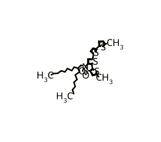 CCCCCCCCC(CCCCCCCC)CN1c2cc(-c3ccc(-c4ccc(C)s4)s3)sc2-c2sc(C)cc2S1(=O)=O